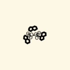 O=S(=O)(OCOS(=O)(=O)c1cccc2ccccc12)c1cccc2ccccc12.c1ccc2ccccc2c1